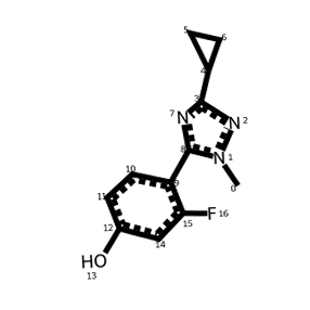 Cn1nc(C2CC2)nc1-c1ccc(O)cc1F